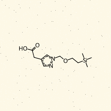 C[Si](C)(C)CCOCn1cc(CC(=O)O)cn1